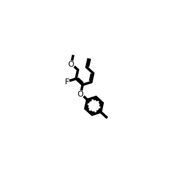 C=C/C=C\C(Oc1ccc(C)cc1)=C(\F)COC